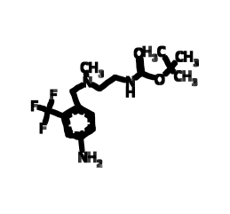 CN(CCNC(=O)OC(C)(C)C)Cc1ccc(N)cc1C(F)(F)F